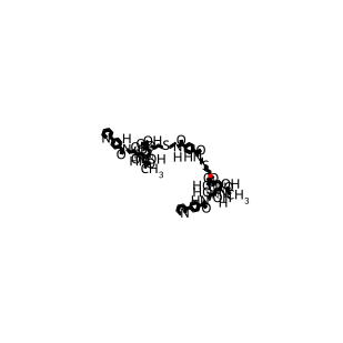 CC(=O)N[C@H]1[C@H]([C@H](O)[C@H](O)CNC(=O)c2ccc(-c3ccccn3)cc2)O[C@@](OCCCSCCNC(=O)c2ccc(C(=O)NCCSCCCO[C@]3(C(=O)O)C[C@H](O)[C@@H](NC(C)=O)[C@H]([C@H](O)[C@H](O)CNC(=O)c4ccc(-c5ccccn5)cc4)O3)cc2)(C(=O)O)C[C@@H]1O